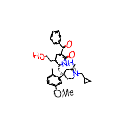 COc1ccc(C)c([C@]2(Cc3[nH]c(=O)c(C(=O)c4ccccc4)cc3CCO)CCN(CC3CC3)[C@H](C)C2)c1